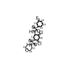 O=S(=O)(Nc1cc(S(=O)(=O)N2CCOCC2)c(Cl)cc1Cl)c1cccc(F)c1